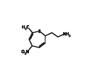 CC1=CC([N+](=O)[O-])C=CC(CCN)S1